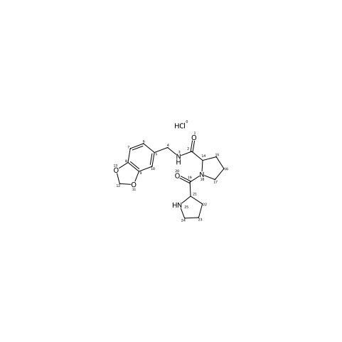 Cl.O=C(NCc1ccc2c(c1)OCO2)C1CCCN1C(=O)C1CCCN1